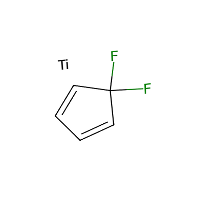 FC1(F)C=CC=C1.[Ti]